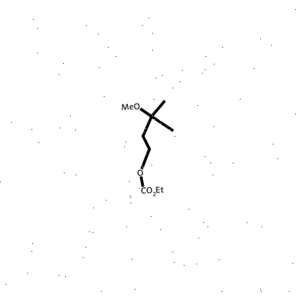 CCOC(=O)OCCC(C)(C)OC